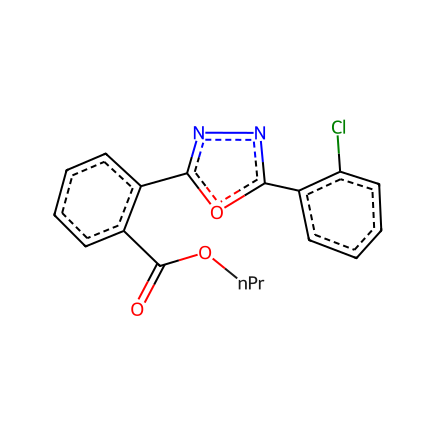 CCCOC(=O)c1ccccc1-c1nnc(-c2ccccc2Cl)o1